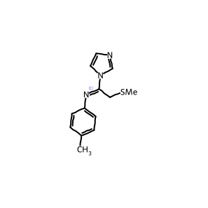 CSC/C(=N\c1ccc(C)cc1)n1ccnc1